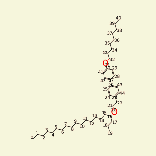 CCCCCCCCCCCCCCCCC(CCC)OCCc1ccc(-c2ccc(OCCCCCCCCC)cc2)cc1